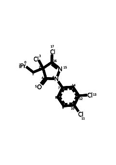 CC(C)CC1(Cl)C(=O)N(c2ccc(Cl)c(Cl)c2)N=C1Cl